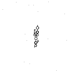 CCOc1ccc(C2CCC(C(=O)Oc3ccc(C4CCC(C)CC4)c(F)c3F)CC2)c(F)c1